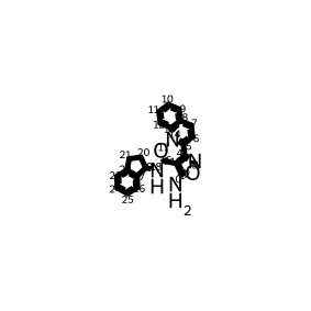 Nc1onc(-c2ccc3ccccc3n2)c1C(=O)NC1CCc2ccccc21